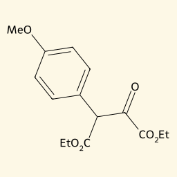 CCOC(=O)C(=O)C(C(=O)OCC)c1ccc(OC)cc1